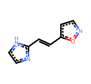 C(=Cc1ccno1)c1ncc[nH]1